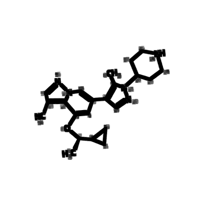 Cc1c(-c2cc(O[C@H](C)C3CC3)c3c(C#N)cnn3c2)cnn1C1CCNCC1